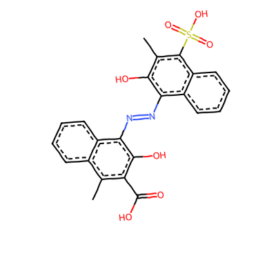 Cc1c(O)c(N=Nc2c(O)c(C(=O)O)c(C)c3ccccc23)c2ccccc2c1S(=O)(=O)O